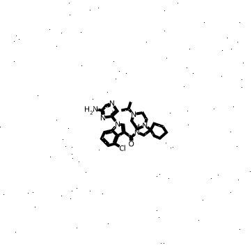 CC(C)N1CCN(C2(CNC(=O)c3cn(-c4cncc(N)n4)c4cccc(Cl)c34)CCCCC2)CC1